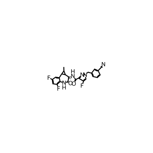 CC1C2c3cc(F)cc(F)c3NC(=O)[C@@H](NC(=O)c3nn(Cc4cccc(C#N)c4)cc3F)C12